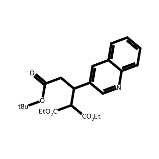 CCOC(=O)C(C(=O)OCC)C(CC(=O)OC(C)(C)C)c1cnc2ccccc2c1